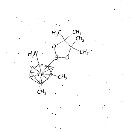 CC1(C)OB([C]23[C]4(N)[CH]5[C]6(C)[C]2(C)[Fe]56432789[CH]3[CH]2[CH]7[CH]8[CH]39)OC1(C)C